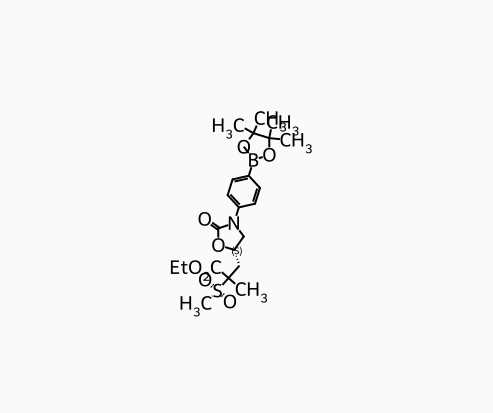 CCOC(=O)C(C)(C[C@H]1CN(c2ccc(B3OC(C)(C)C(C)(C)O3)cc2)C(=O)O1)S(C)(=O)=O